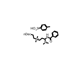 CCCCCCCCCCCC[N+](C)(C)CCC(NC(=O)c1ccccc1)N(C)C.Cc1ccc(S(=O)(=O)O)cc1